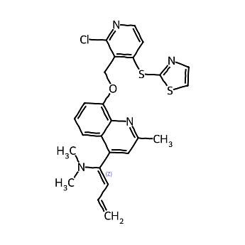 C=C/C=C(/c1cc(C)nc2c(OCc3c(Sc4nccs4)ccnc3Cl)cccc12)N(C)C